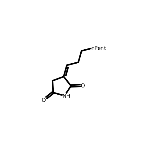 CCCCCCCC=C1CC(=O)NC1=O